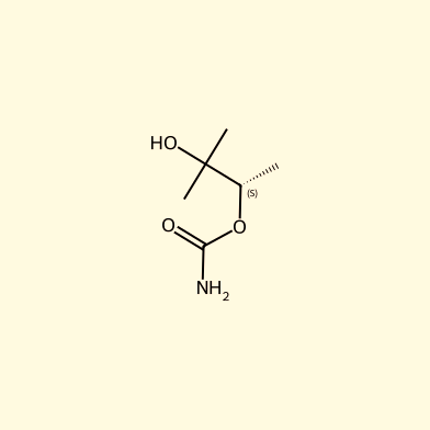 C[C@H](OC(N)=O)C(C)(C)O